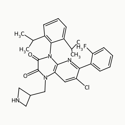 CC(C)c1cccc(C(C)C)c1-n1c(=O)c(=O)n(CC2CNC2)c2cc(Cl)c(-c3ccccc3F)nc21